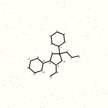 CCCC1(C2CCCCC2)CC(CC)C(C2CCCCC2)C1